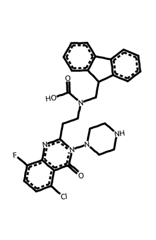 O=C(O)N(CCc1nc2c(F)ccc(Cl)c2c(=O)n1N1CCNCC1)CC1c2ccccc2-c2ccccc21